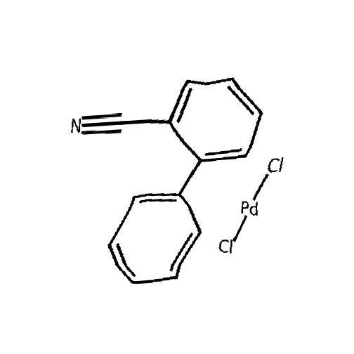 N#Cc1ccccc1-c1ccccc1.[Cl][Pd][Cl]